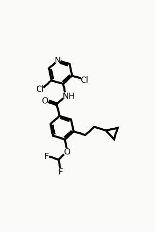 O=C(Nc1c(Cl)cncc1Cl)c1ccc(OC(F)F)c(CCC2CC2)c1